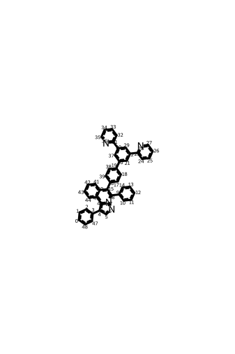 c1ccc(-c2cnn3c(-c4ccccc4)c(-c4ccc(-c5cc(-c6ccccn6)cc(-c6ccccn6)c5)cc4)c4ccccc4c23)cc1